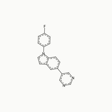 Fc1ccc(-n2ccc3cc(-c4cncnc4)ccc32)cc1